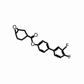 O=C(Oc1ccc(-c2ccc(F)c(F)c2)cc1)C1CCC2OC2C1